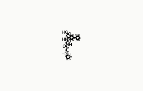 O=C(O)CC(NC(=O)CNC(=O)CCCNc1ccccn1)c1ccc(-c2ccccc2)cc1